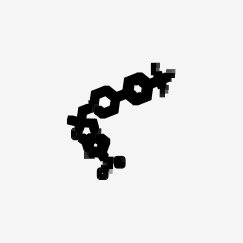 CC1(CN2CCC(c3ccc(C(F)(F)F)cc3)CC2)Cn2cc([N+](=O)[O-])nc2O1